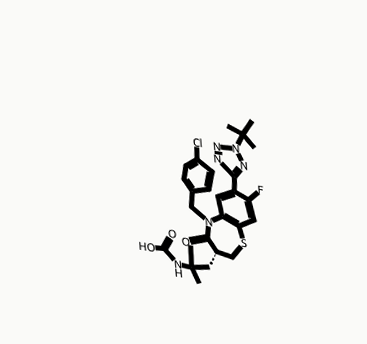 CC(C)(C[C@H]1CSc2cc(F)c(-c3nnn(C(C)(C)C)n3)cc2N(Cc2ccc(Cl)cc2)C1=O)NC(=O)O